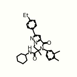 CCc1ccc(-c2cc3n(n2)CC(C)(C(=O)NC2CCCCC2)N(c2ccc(C)c(C)c2)C3=O)cc1